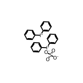 O=S(=O)([O-])[O-].c1ccc([I+]c2ccccc2)cc1.c1ccc([I+]c2ccccc2)cc1